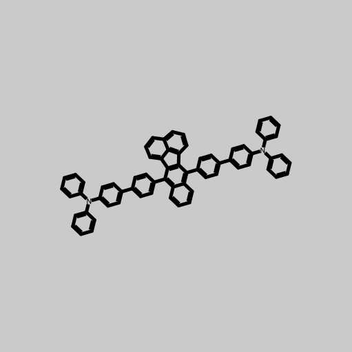 c1ccc(N(c2ccccc2)c2ccc(-c3ccc(-c4c5c(c(-c6ccc(-c7ccc(N(c8ccccc8)c8ccccc8)cc7)cc6)c6ccccc46)-c4cccc6cccc-5c46)cc3)cc2)cc1